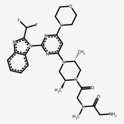 C[C@@H]1CN(C(=O)CN(C)C(=O)CN)[C@@H](C)CN1c1cc(N2CCOCC2)nc(-n2c(C(F)F)nc3ccccc32)n1